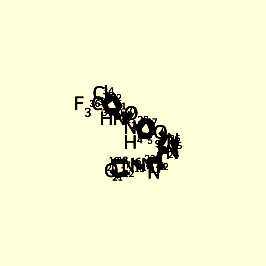 O=C(Nc1ccc(Oc2cc(-c3cnn(CCN4CCOCC4)c3)ncn2)cc1)Nc1ccc(Cl)c(C(F)(F)F)c1